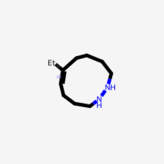 CC/C1=C/CCCNNCCCC1